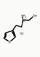 Cl.N[C@@H](CO)CCc1ccsc1